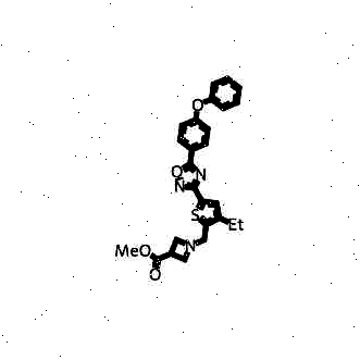 CCc1cc(-c2noc(-c3ccc(Oc4ccccc4)cc3)n2)sc1CN1CC(C(=O)OC)C1